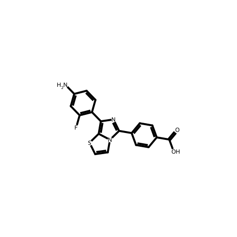 Nc1ccc(-c2nc(-c3ccc(C(=O)O)cc3)n3ccsc23)c(F)c1